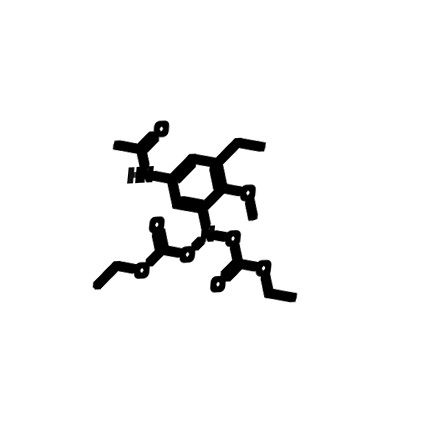 CCOC(=O)ON(OC(=O)OCC)c1cc(NC(C)=O)cc(CC)c1OC